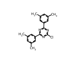 Cc1cc(C)cc(-c2nc(Cl)nc(-c3cc(C)cc(C)c3)n2)c1